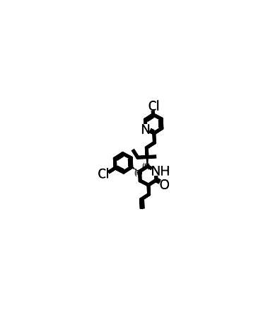 C=CCC1C[C@H](c2cccc(Cl)c2)[C@@H](C(C)(CC)CCc2ccc(Cl)cn2)NC1=O